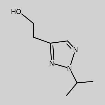 CC(C)n1ncc(CCO)n1